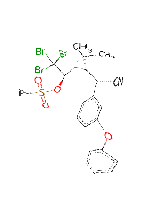 CC(C)S(=O)(=O)O[C@H]([C@H]1[C@@H]([C@H](C#N)c2cccc(Oc3ccccc3)c2)C1(C)C)C(Br)(Br)Br